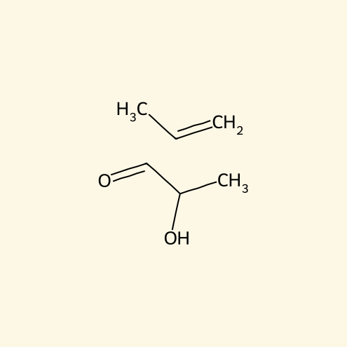 C=CC.CC(O)C=O